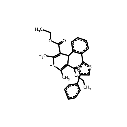 CCOC(=O)C1=C(C)NC(C)=C(C(=O)OCC)C1c1ccccc1-c1nc(-c2ccccc2)cs1